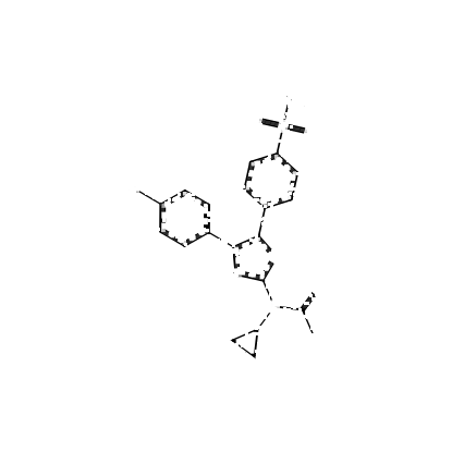 CC(=O)N(c1nc(-c2ccc(Cl)cc2)c(-c2ccc(S(N)(=O)=O)cc2)s1)C1CC1